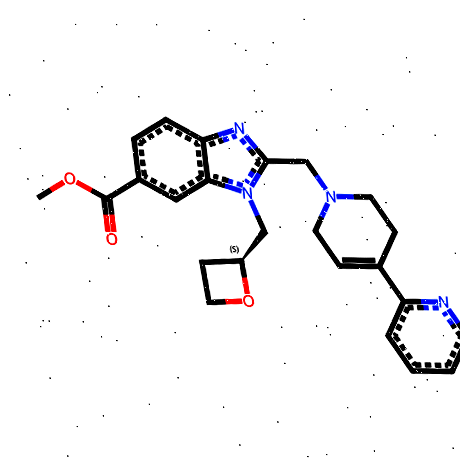 COC(=O)c1ccc2nc(CN3CC=C(c4ccccn4)CC3)n(C[C@@H]3CCO3)c2c1